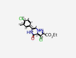 CCOC(=O)c1nn2cc(-c3ccc(Cl)c(C)c3)[nH]c(=O)c2c1Cl